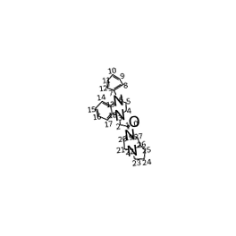 O=C(CN1CCN(c2ccccc2)c2ccccc21)N1CCN2CCCC2C1